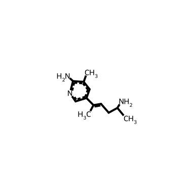 CC(=CCC(C)N)c1cnc(N)c(C)c1